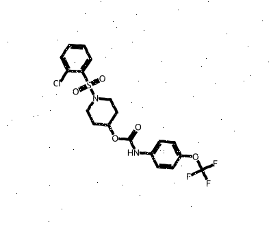 O=C(Nc1ccc(OC(F)(F)F)cc1)OC1CCN(S(=O)(=O)c2ccccc2Cl)CC1